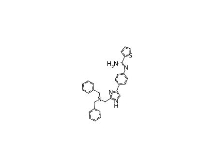 N/C(=N\c1ccc(-c2c[nH]c(CN(Cc3ccccc3)Cc3ccccc3)n2)cc1)c1cccs1